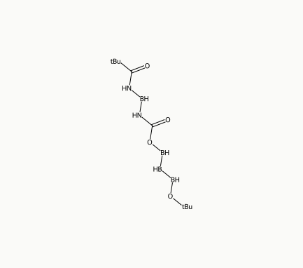 CC(C)(C)OBBBOC(=O)NBNC(=O)C(C)(C)C